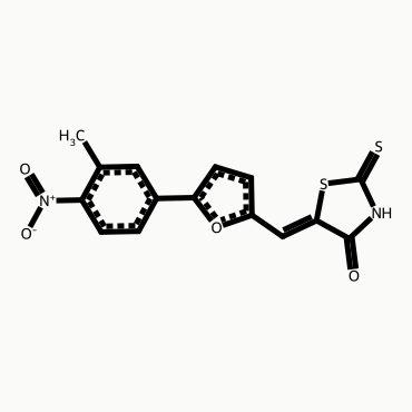 Cc1cc(-c2ccc(/C=C3\SC(=S)NC3=O)o2)ccc1[N+](=O)[O-]